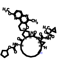 COc1ccc2nc(C)c3c(c2n1)CC[C@]1(C[C@H]2C(=O)N[C@]4(C(=O)NS(=O)(=O)C5(C)CC5)C[C@H]4/C=C\CCCCC[C@H](NC(=O)OC4CCCC4)C(=O)N2C1)O3